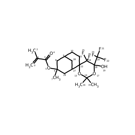 C=C(C)C(=O)OC1(C)CC2CCC3(OC(C)(C)OC(O)(C(F)(F)F)C3(F)F)C(C2)C1